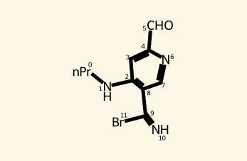 CCCNc1cc(C=O)ncc1C(=N)Br